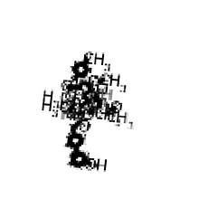 COC(=O)[C@@]1(Sc2ccc(C)cc2)C[C@H](OC(C)=O)[C@@H](NC(=O)COC(C)=O)[C@H]([C@H](OC(C)=O)[C@@H](CNC(=O)Cc2ccc(-c3cccc(O)c3)cc2)OC(C)=O)O1